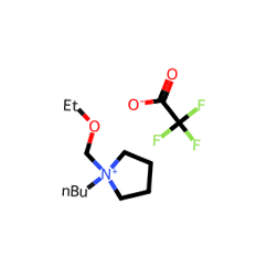 CCCC[N+]1(COCC)CCCC1.O=C([O-])C(F)(F)F